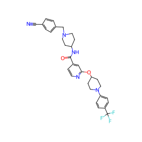 N#Cc1ccc(CN2CCC(NC(=O)c3ccnc(OC4CCN(c5ccc(C(F)(F)F)cc5)CC4)c3)CC2)cc1